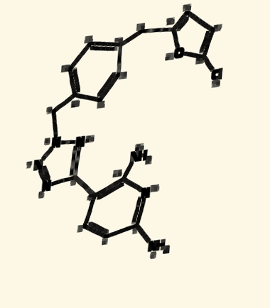 Nc1ccc(-c2nnn(Cc3ccc(Cc4ccc(Cl)o4)cc3)n2)c(N)n1